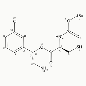 CC(C)(C)OC(=O)N[C@@H](CS)C(=O)O[C@H](CN)c1cccc(Cl)c1